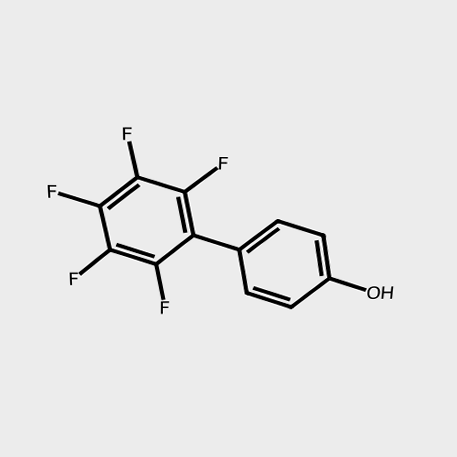 Oc1ccc(-c2c(F)c(F)c(F)c(F)c2F)cc1